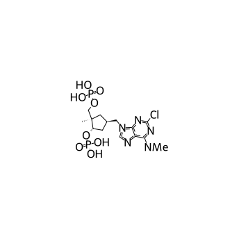 CNc1nc(Cl)nc2c1ncn2C[C@H]1C[C@H](OP(=O)(O)O)[C@@](C)(COP(=O)(O)O)C1